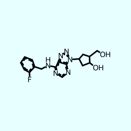 OCC1CC(n2nnc3c(NCc4ccccc4F)ncnc32)CC1O